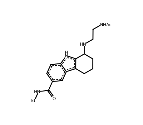 CCNC(=O)c1ccc2[nH]c3c(c2c1)CCCC3NCCNC(C)=O